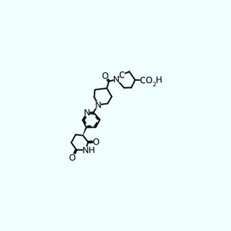 O=C1CC[C@@H](c2ccc(N3CCC(C(=O)N4CCC(C(=O)O)CC4)CC3)nc2)C(=O)N1